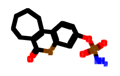 NS(=O)(=O)Oc1ccc2c3c(c(=O)sc2c1)CCCCC3